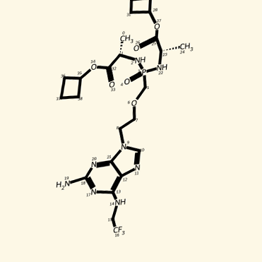 C[C@H](NP(=O)(COCCn1cnc2c(NCC(F)(F)F)nc(N)nc21)N[C@@H](C)C(=O)OC1CCC1)C(=O)OC1CCC1